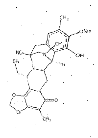 COc1c(C)cc2c(c1O)[C@H]1C3CC4C(=O)C(C)=C5OCOC5=C4[C@H](CO)N3C(C#N)(C2)CN1C